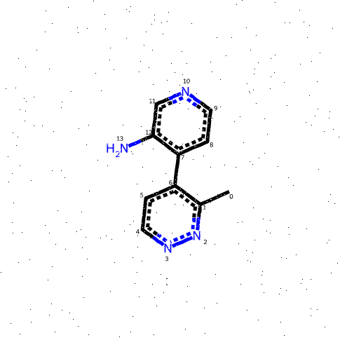 Cc1nnccc1-c1ccncc1N